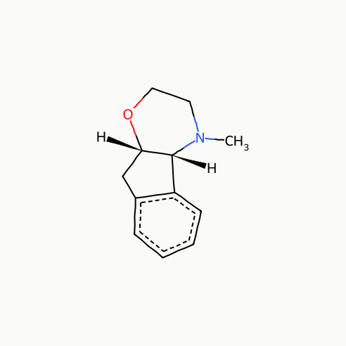 CN1CCO[C@H]2Cc3ccccc3[C@H]21